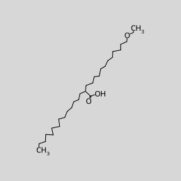 CCCCCCCCCCCCCCC(CCCCCCCCCCCCOCC)C(=O)O